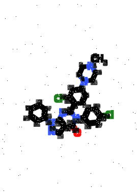 CN1CCN(c2ccc(-c3nc4c(cnn4-c4ccccc4)c(=O)n3-c3ccc(Cl)cc3)c(Cl)c2)CC1